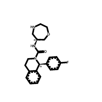 O=C(N[C@H]1CNCCOC1)N1CCc2ccccc2[C@@H]1c1ccc(F)cc1